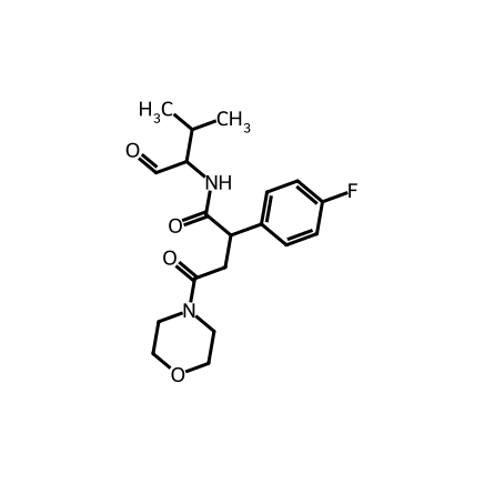 CC(C)C(C=O)NC(=O)C(CC(=O)N1CCOCC1)c1ccc(F)cc1